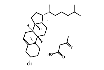 CC(=O)CC(=O)O.CC(C)CCCC(C)[C@H]1CC[C@H]2[C@@H]3CC=C4C[C@@H](O)CC[C@]4(C)[C@H]3CC[C@]12C